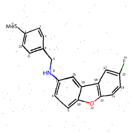 CSc1ccc(CNc2ccc3oc4ccc(F)cc4c3c2)cc1